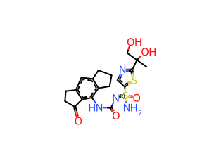 CC(O)(CO)c1ncc([S@](N)(=O)=NC(=O)Nc2c3c(cc4c2C(=O)CC4)CCC3)s1